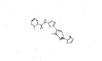 Cc1ccccc1C(=O)Nc1cnc(-c2cc(-c3nccs3)nn2C)s1